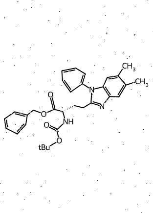 Cc1cc2nc(CC[C@H](NC(=O)OC(C)(C)C)C(=O)OCc3ccccc3)n(-c3ccccc3)c2cc1C